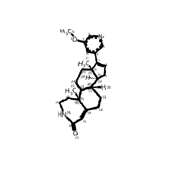 COc1cncc(C2=CC[C@H]3[C@@H]4CCC5=CC(=O)NCC[C@]5(C)C4CC[C@]23C)c1